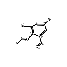 CCOc1c(Br)cc(Br)cc1C=O